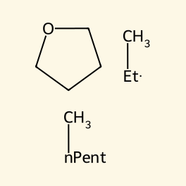 C1CCOC1.CCCCCC.C[CH]C